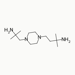 CC(C)(N)CCN1CCN(CC(C)(C)N)CC1